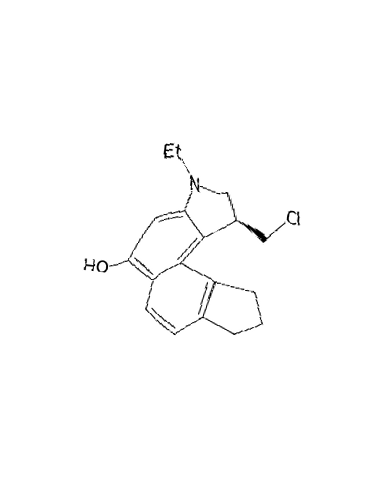 CCN1C[C@@H](CCl)c2c1cc(O)c1ccc3c(c21)CCC3